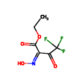 CCOC(=O)/C(=N\O)C(=O)C(F)(F)F